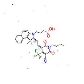 CCCCN1C(=O)C(C#N)=C(C(F)(F)F)/C(=C/C=C2/N(CCCC(=O)O)c3ccc4ccccc4c3C2(C)C)C1=O